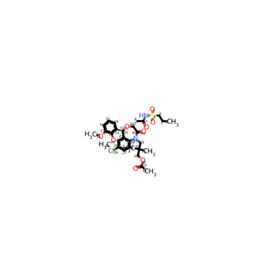 CCCS(=O)(=O)NC(=O)C[C@H]1O[C@H](c2cccc(OC)c2OC)c2cc(Cl)ccc2N(CC(C)(C)COC(C)=O)C1=O